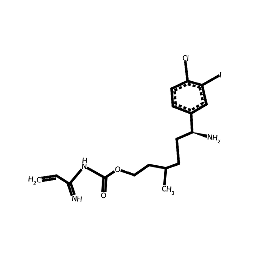 C=CC(=N)NC(=O)OCCC(C)CC[C@H](N)c1ccc(Cl)c(I)c1